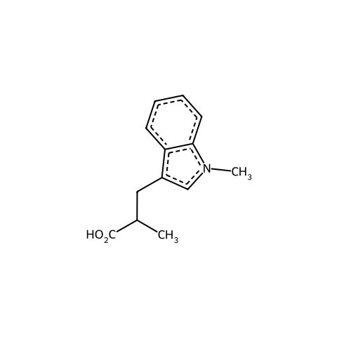 CC(Cc1cn(C)c2ccccc12)C(=O)O